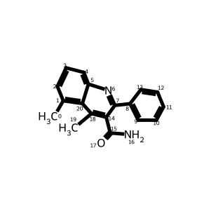 Cc1cccc2nc(-c3ccccc3)c(C(N)=O)c(C)c12